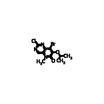 CC(C)Oc1c(Br)c2nc(Cl)ncc2n(C)c1=O